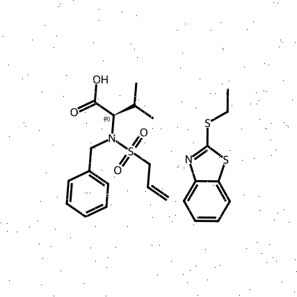 C=CCS(=O)(=O)N(Cc1ccccc1)[C@@H](C(=O)O)C(C)C.CCSc1nc2ccccc2s1